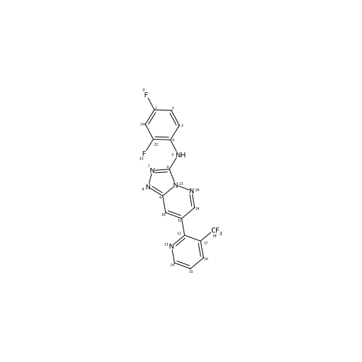 Fc1ccc(Nc2nnc3cc(-c4ncccc4C(F)(F)F)cnn23)c(F)c1